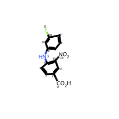 O=C(O)c1ccc(Nc2cccc(F)c2)c([N+](=O)[O-])c1